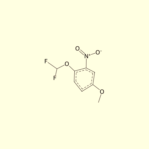 COc1ccc(OC(F)F)c([N+](=O)[O-])c1